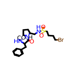 O=C(O)NC(Cc1ccccc1)C(=O)N1CCCC1CNS(=O)(=O)CCCCBr